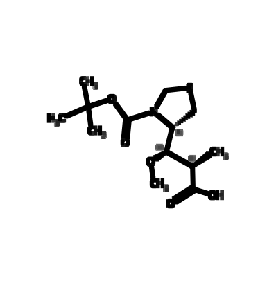 CO[C@@H]([C@H]1CSCN1C(=O)OC(C)(C)C)[C@@H](C)C(=O)O